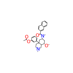 COC1CC(N(C)C(=O)c2ccc3ccccc3c2)CC2(c3cccc(OC(C)=O)c3)CCN(C)CC12